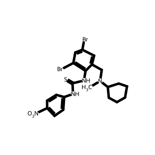 CN(Cc1cc(Br)cc(Br)c1NC(=S)Nc1ccc([N+](=O)[O-])cc1)C1CCCCC1